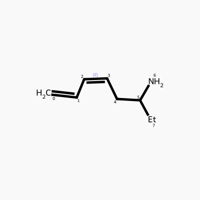 C=C/C=C\CC(N)CC